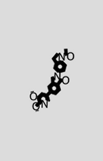 COc1cc(-c2ccc3c(c2)CN(c2ccc4c(c2)CCN4C(C)=O)C3=O)cnc1OC